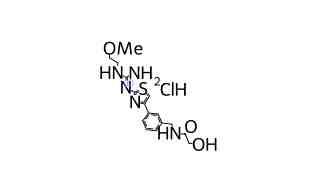 COCCN/C(N)=N/c1nc(-c2cccc(CNC(=O)CO)c2)cs1.Cl